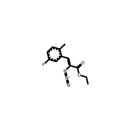 CCOC(=O)/C(=C/c1cc(F)ccc1C)N=[N+]=[N-]